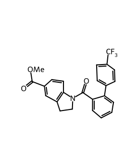 COC(=O)c1ccc2c(c1)CCN2C(=O)c1ccccc1-c1ccc(C(F)(F)F)cc1